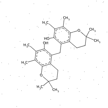 Cc1c(C)c2c(c(Cc3c(O)c(C)c(C)c4c3CCC(C)(C)O4)c1O)CCC(C)(C)O2